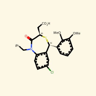 COc1cccc([C@H]2S[C@H](CC(=O)O)C(=O)N(CC(C)C)c3ccc(Cl)cc32)c1OC